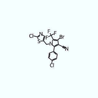 N#Cc1c(Br)c(C(F)(F)F)n(Cc2cnc(Cl)s2)c1-c1ccc(Cl)cc1